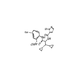 CCn1nccc1C(=O)NC(C(=O)Nc1ncc(Br)cc1OC)C(C1CC1)C1CC1